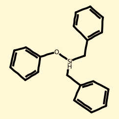 c1ccc(C[SiH](Cc2ccccc2)Oc2ccccc2)cc1